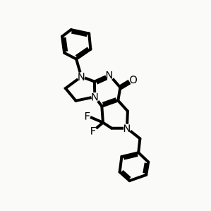 O=c1nc2n(c3c1CN(Cc1ccccc1)CC3(F)F)CCN2c1ccccc1